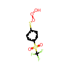 O=S(=O)(c1ccc(SOOO)cc1)C(F)(F)F